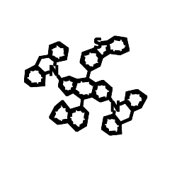 c1ccc2c(c1)Cc1ccccc1N2c1ccc2c(-c3cccc4ccccc34)c3cc(N4c5ccccc5Cc5ccccc54)ccc3c(-c3ccc4sc5ccccc5c4c3)c2c1